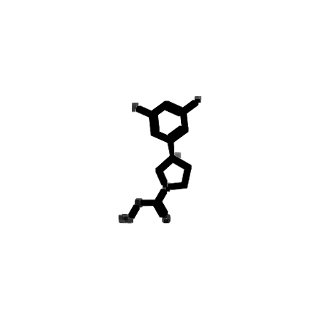 CC(C)(C)OC(=O)N1CC[C@H](c2cc(F)cc(F)c2)C1